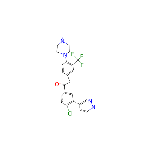 CN1CCN(c2ccc(CC(=O)c3ccc(Cl)c(-c4ccnnc4)c3)cc2C(F)(F)F)CC1